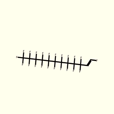 FC=CC(F)(F)C(F)(F)C(F)(F)C(F)(F)C(F)(F)C(F)(F)C(F)(F)C(F)(F)C(F)(F)C(F)(F)F